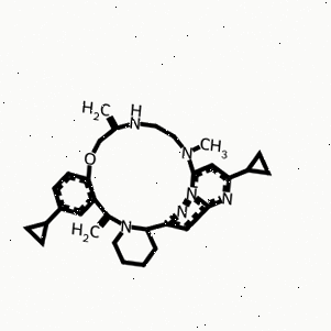 C=C1COc2ccc(C3CC3)cc2C(=C)N2CCCCC2c2cc3nc(C4CC4)cc(n3n2)N(C)CCN1